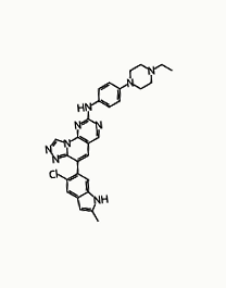 CCN1CCN(c2ccc(Nc3ncc4cc(-c5cc6[nH]c(C)cc6cc5Cl)c5nncn5c4n3)cc2)CC1